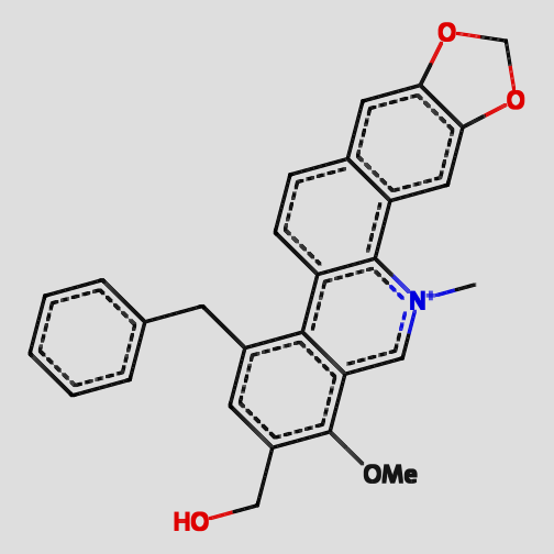 COc1c(CO)cc(Cc2ccccc2)c2c1c[n+](C)c1c3cc4c(cc3ccc21)OCO4